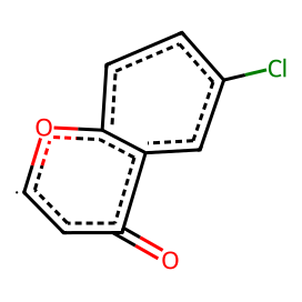 O=c1c[c]oc2ccc(Cl)cc12